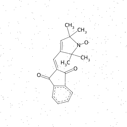 CC1(C)C=C(C=C2C(=O)c3ccccc3C2=O)C(C)(C)N1[O]